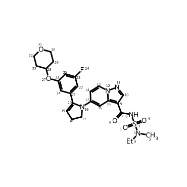 CCN(C)S(=O)(=O)NC(=O)c1cnn2ccc(N3CCC=C3c3cc(F)cc(OC4CCOCC4)c3)cc12